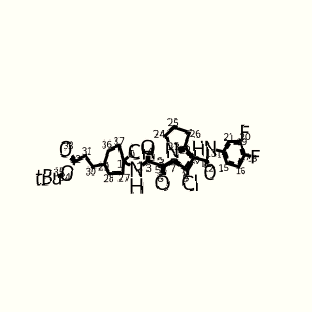 CC1(NC(=O)C(=O)c2c(Cl)c(C(=O)Nc3ccc(F)c(F)c3)c3n2CCC3)CCC(CCC(=O)OC(C)(C)C)CC1